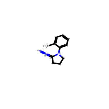 Cc1ccccc1N1CCCC1=[N+]=[N-]